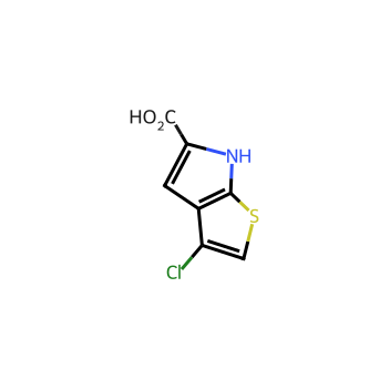 O=C(O)c1cc2c(Cl)csc2[nH]1